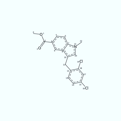 COC(=O)c1ccc2c(c1)c(Cc1ccc(Cl)cc1Cl)cn2C